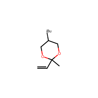 C=CC1(C)OCC(C(C)CC)CO1